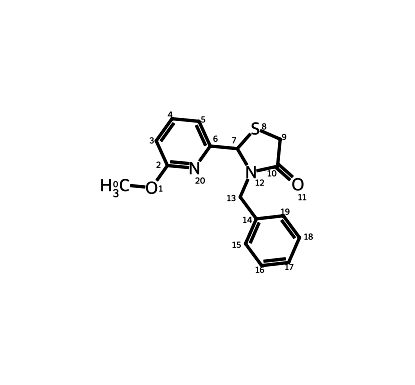 COc1cccc(C2SCC(=O)N2Cc2ccccc2)n1